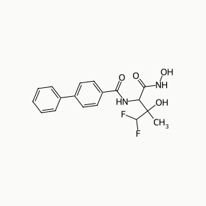 CC(O)(C(F)F)C(NC(=O)c1ccc(-c2ccccc2)cc1)C(=O)NO